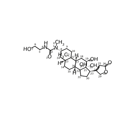 CN(C(=O)NCCO)[C@@H]1CC[C@]2(C)[C@H](CC[C@@H]3[C@H]2C[C@@H](O)[C@@]2(C)[C@@H](C4=CC(=O)OC4)CC[C@@]32O)C1